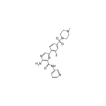 CN1CCN(S(=O)(=O)c2ccc(-c3cnc(N)c(C(=O)Nc4cccnc4)n3)c(F)c2)CC1